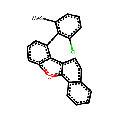 CSc1cccc(Cl)c1-c1cccc2oc3c4ccccc4ccc3c12